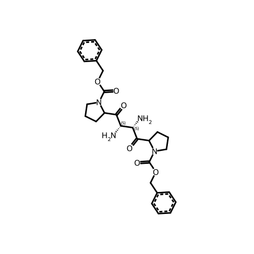 N[C@H](C(=O)C1CCCN1C(=O)OCc1ccccc1)[C@H](N)C(=O)C1CCCN1C(=O)OCc1ccccc1